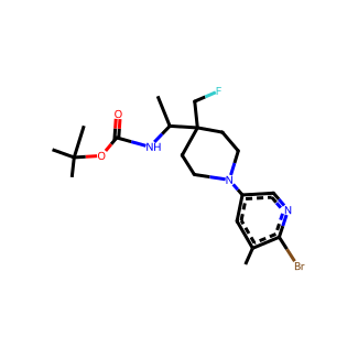 Cc1cc(N2CCC(CF)(C(C)NC(=O)OC(C)(C)C)CC2)cnc1Br